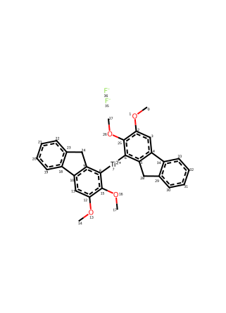 COc1cc2c([c]([Ti+2][c]3c4c(cc(OC)c3OC)-c3ccccc3C4)c1OC)Cc1ccccc1-2.[F-].[F-]